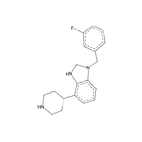 Fc1cccc(CN2[CH]Nc3c(C4CCNCC4)cccc32)c1